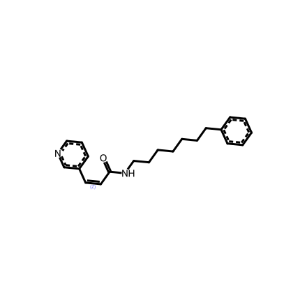 O=C(/C=C\c1cccnc1)NCCCCCCCc1ccccc1